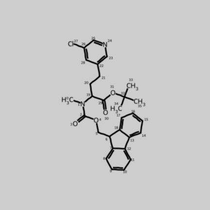 CN(C(=O)OCC1c2ccccc2-c2ccccc21)C(CCc1cncc(Cl)c1)C(=O)OC(C)(C)C